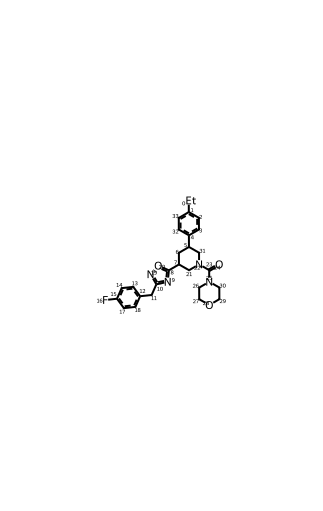 CCc1ccc(C2CC(c3nc(Cc4ccc(F)cc4)no3)CN(C(=O)N3CCOCC3)C2)cc1